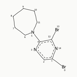 Brc1cnc(N2CCCCCC2)c(Br)n1